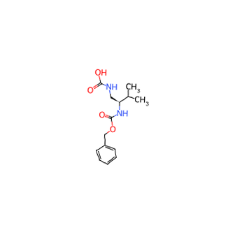 CC(C)[C@H](CNC(=O)O)NC(=O)OCc1ccccc1